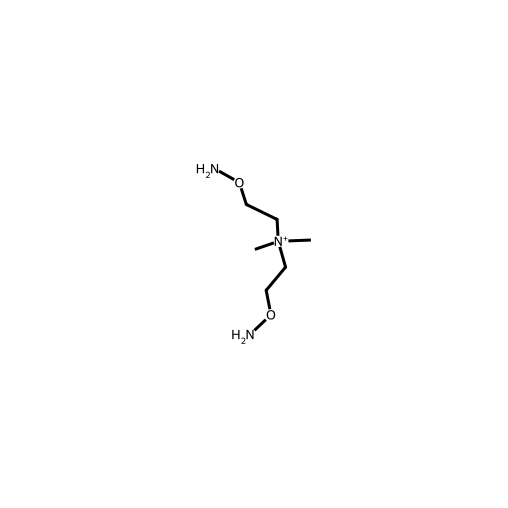 C[N+](C)(CCON)CCON